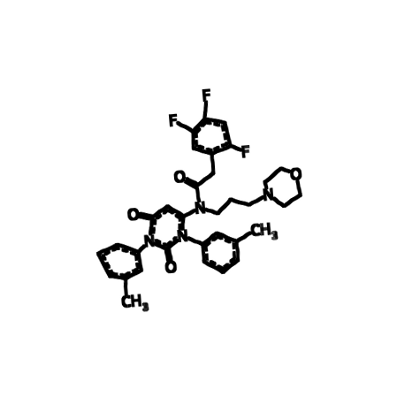 Cc1cccc(-n2c(N(CCCN3CCOCC3)C(=O)Cc3cc(F)c(F)cc3F)cc(=O)n(-c3cccc(C)c3)c2=O)c1